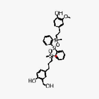 COc1cc(CC[Si](C)(C)O[Si](O[Si](C)(C)CCCc2ccc(O)c(CO)c2)(c2ccccc2)c2ccccc2)ccc1O